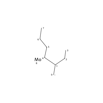 [CH2]C(CC)CCCC.[Mo]